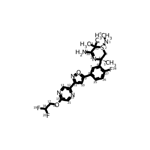 C/N=S1/C[C@@](C)(c2cc(-c3cc(-c4cnc(OCC(F)F)cn4)no3)ccc2F)N=C(N)C1(C)C